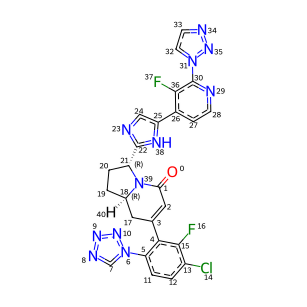 O=C1C=C(c2c(-n3cnnn3)ccc(Cl)c2F)C[C@H]2CC[C@H](c3ncc(-c4ccnc(-n5ccnn5)c4F)[nH]3)N12